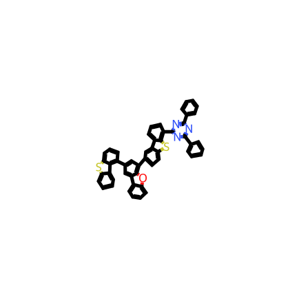 c1ccc(-c2nc(-c3ccccc3)nc(-c3cccc4c3sc3ccc(-c5cc(-c6cccc7sc8ccccc8c67)cc6c5oc5ccccc56)cc34)n2)cc1